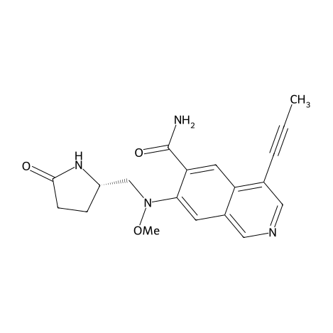 CC#Cc1cncc2cc(N(C[C@@H]3CCC(=O)N3)OC)c(C(N)=O)cc12